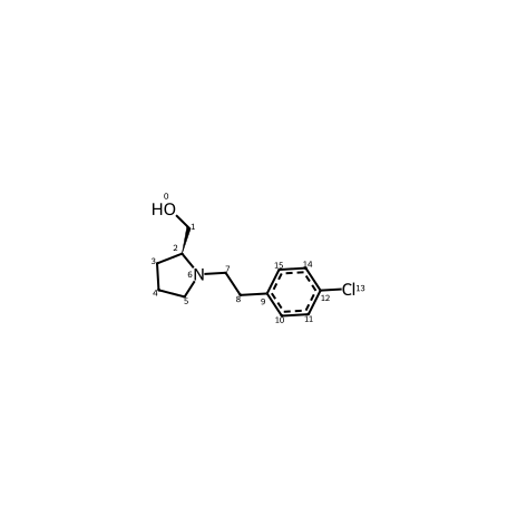 OC[C@@H]1CCCN1CCc1ccc(Cl)cc1